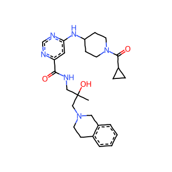 CC(O)(CNC(=O)c1cc(NC2CCN(C(=O)C3CC3)CC2)ncn1)CN1CCc2ccccc2C1